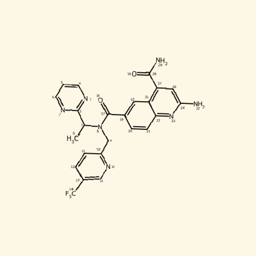 CC(c1ncccn1)N(Cc1ccc(C(F)(F)F)cn1)C(=O)c1ccc2nc(N)cc(C(N)=O)c2c1